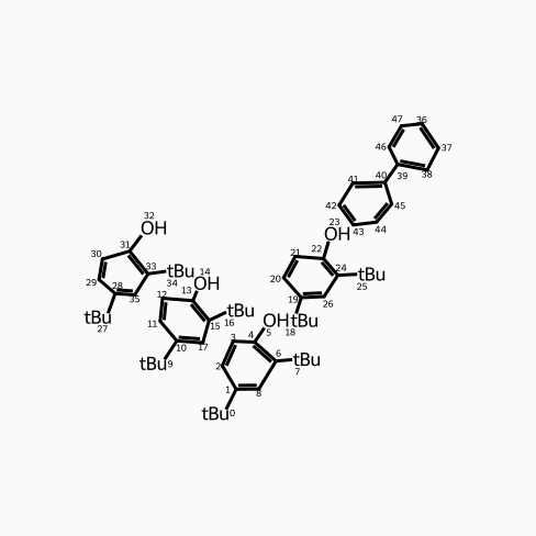 CC(C)(C)c1ccc(O)c(C(C)(C)C)c1.CC(C)(C)c1ccc(O)c(C(C)(C)C)c1.CC(C)(C)c1ccc(O)c(C(C)(C)C)c1.CC(C)(C)c1ccc(O)c(C(C)(C)C)c1.c1ccc(-c2ccccc2)cc1